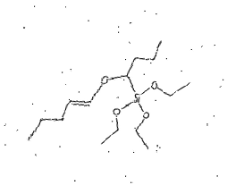 CCCC=COC(CCC)[Si](OCC)(OCC)OCC